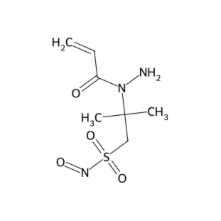 C=CC(=O)N(N)C(C)(C)CS(=O)(=O)N=O